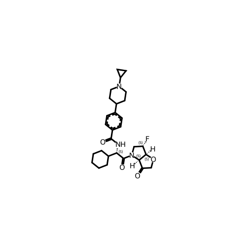 O=C(N[C@H](C(=O)N1C[C@H](F)[C@H]2OCC(=O)[C@H]21)C1CCCCC1)c1ccc(C2CCN(C3CC3)CC2)cc1